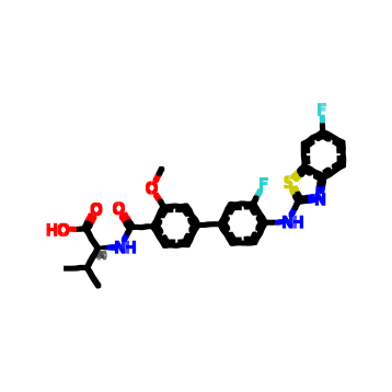 COc1cc(-c2ccc(Nc3nc4ccc(F)cc4s3)c(F)c2)ccc1C(=O)N[C@H](C(=O)O)C(C)C